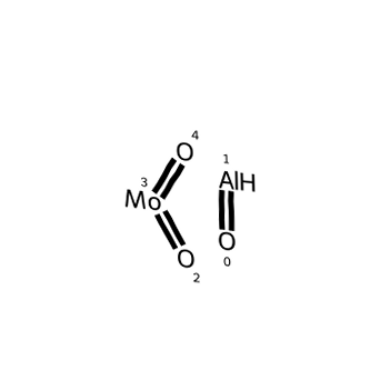 [O]=[AlH].[O]=[Mo]=[O]